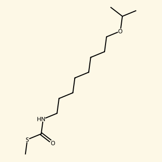 CSC(=O)NCCCCCCCCOC(C)C